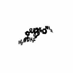 CC#CCn1c(N2CCCC(N)C2)nc2cnn(CC(=O)c3cccc(C(N)=O)c3)c(=O)c21